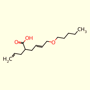 C=CCC(CC=CCOCCCCC)C(=O)O